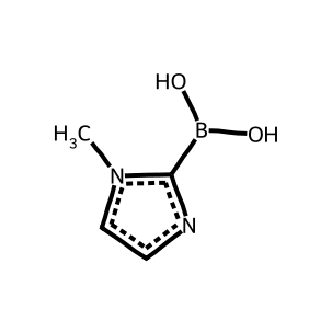 Cn1ccnc1B(O)O